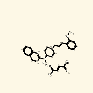 COc1ccccc1OCCN1CCC(N(C)C2=Nc3ccccc3CS2)CC1.O=C(O)C=CC(=O)O